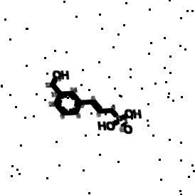 O=P(O)(O)C/C=C/c1cccc(CO)c1